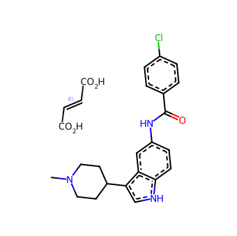 CN1CCC(c2c[nH]c3ccc(NC(=O)c4ccc(Cl)cc4)cc23)CC1.O=C(O)/C=C/C(=O)O